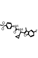 Cc1c([C@@H](NC(=O)Nc2ccc(S(C)(=O)=O)cc2)C2CC2)oc2ccc(F)cc12